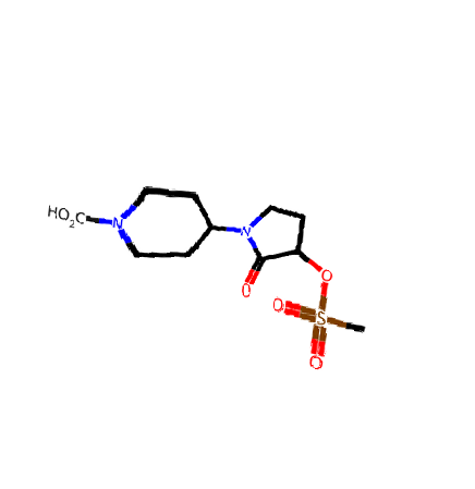 CS(=O)(=O)OC1CCN(C2CCN(C(=O)O)CC2)C1=O